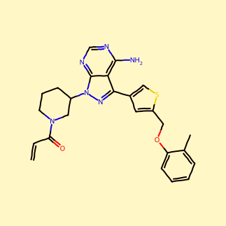 C=CC(=O)N1CCCC(n2nc(-c3csc(COc4ccccc4C)c3)c3c(N)ncnc32)C1